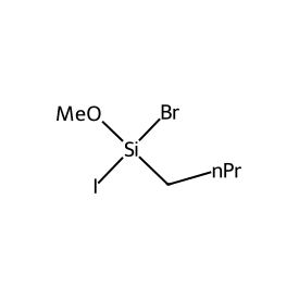 CCCC[Si](Br)(I)OC